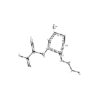 C=C(C)C(=O)Oc1cccc[n+]1CCCC.[Cl-]